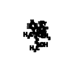 CC(O)CCCC(C)(O)C(C)c1ccccc1C1=C(C(C)C)CCC(C)C1